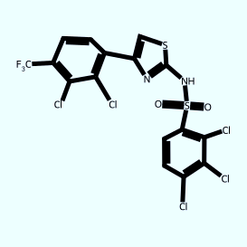 O=S(=O)(Nc1nc(-c2ccc(C(F)(F)F)c(Cl)c2Cl)cs1)c1ccc(Cl)c(Cl)c1Cl